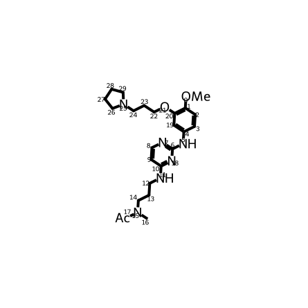 COc1ccc(Nc2nccc(NCCCN(C)C(C)=O)n2)cc1OCCCN1CCCC1